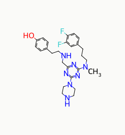 CN(CCCc1ccc(F)c(F)c1)c1nc(CNCCc2ccc(O)cc2)nc(N2CCNCC2)n1